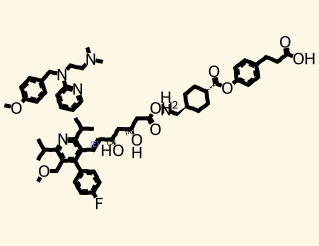 COCc1c(C(C)C)nc(C(C)C)c(/C=C/[C@@H](O)C[C@@H](O)CC(=O)O)c1-c1ccc(F)cc1.COc1ccc(CN(CCN(C)C)c2ccccn2)cc1.NC[C@H]1CC[C@H](C(=O)Oc2ccc(CCC(=O)O)cc2)CC1